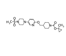 CC1(OC(=O)N2CCC(COc3ccc(N4CCN(S(C)(=O)=O)CC4)cn3)CC2)CC1